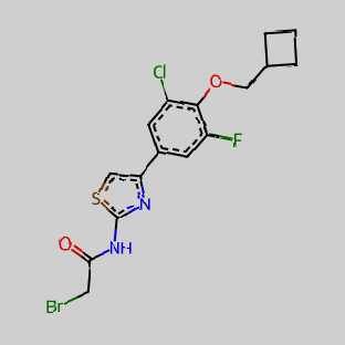 O=C(CBr)Nc1nc(-c2cc(F)c(OCC3CCC3)c(Cl)c2)cs1